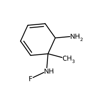 CC1(NF)C=CC=CC1N